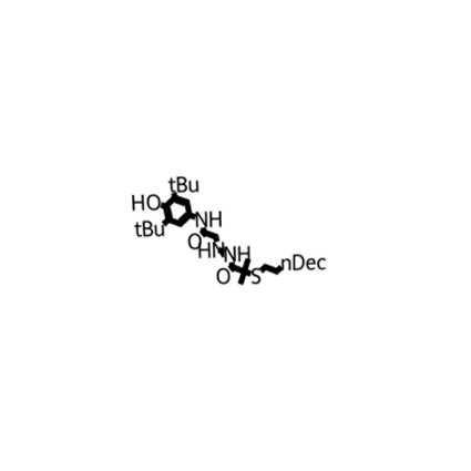 CCCCCCCCCCCCSC(C)(C)C(=O)NNCC(=O)Nc1cc(C(C)(C)C)c(O)c(C(C)(C)C)c1